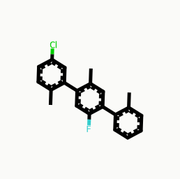 Cc1ccc(Cl)cc1-c1cc(F)c(-c2ccccc2C)cc1C